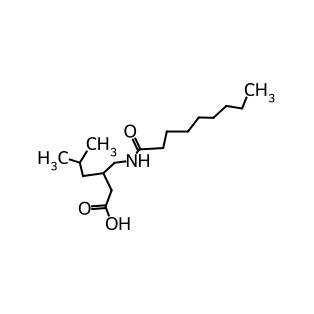 CCCCCCCCC(=O)NCC(CC(=O)O)CC(C)C